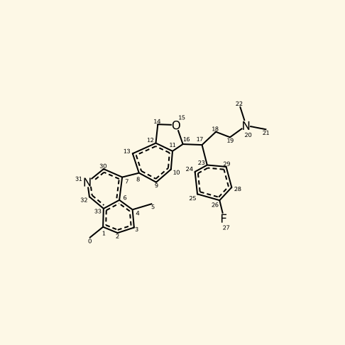 Cc1ccc(C)c2c(-c3ccc4c(c3)COC4C(CCN(C)C)c3ccc(F)cc3)cncc12